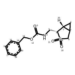 O=C(NC[C@@H]1[C@@H]2CC2CS1(=O)=O)OCc1ccccc1